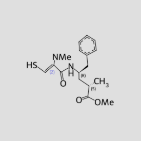 CN/C(=C\S)C(=O)N[C@@H](Cc1ccccc1)C[C@H](C)C(=O)OC